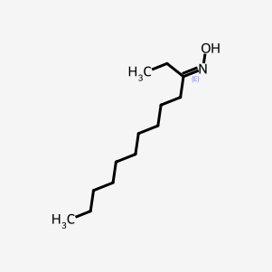 CCCCCCCCCC/C(CC)=N/O